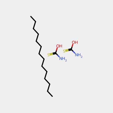 CCCCCCCCCCCCCC.NC(O)=S.NC(O)=S